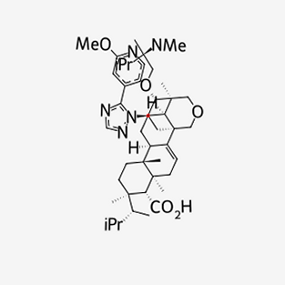 CN[C@@](C)(CO[C@H]1[C@H](n2ncnc2-c2ccnc(OC)c2)C[C@@]23COC[C@@]1(C)[C@@H]2CC[C@H]1C3=CC[C@@]2(C)[C@H](C(=O)O)[C@@](C)([C@H](C)C(C)C)CC[C@]12C)C(C)C